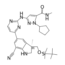 CNC(=O)c1cc(Nc2nccc(-c3cc(C#N)c4c(c3)[C@@](C)(CO[Si](C)(C)C(C)(C)C)CN4)n2)nn1C1CCCC1